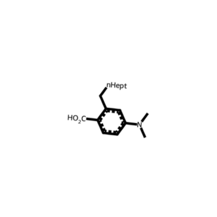 CCCCCCCCc1cc(N(C)C)ccc1C(=O)O